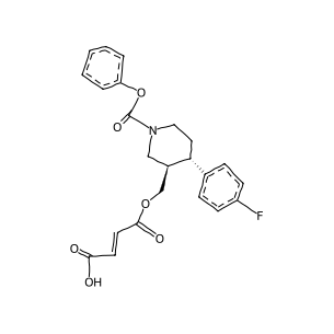 O=C(O)C=CC(=O)OC[C@H]1CN(C(=O)Oc2ccccc2)CC[C@@H]1c1ccc(F)cc1